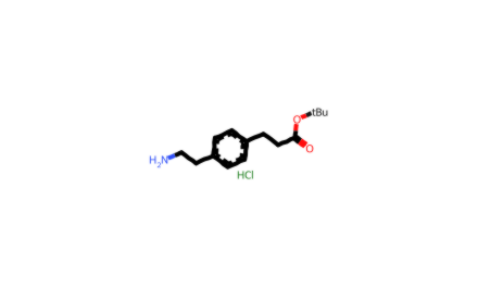 CC(C)(C)OC(=O)CCc1ccc(CCN)cc1.Cl